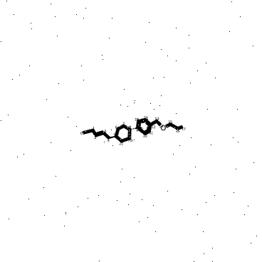 CCC=CC[C@H]1CC[C@H](c2ccc(COCCC)cc2)CC1